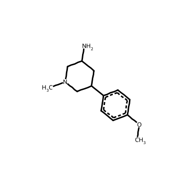 COc1ccc(C2CC(N)CN(C)C2)cc1